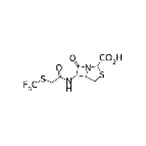 O=C(CSC(F)(F)F)NC1C(=O)N2C(C(=O)O)SCC12